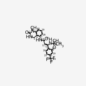 CN1C(=O)NCc2c(NC(=O)/C=C3\NC(C)(C)Oc4cc(C(F)(F)F)ccc43)cccc21